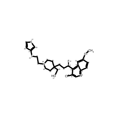 COc1ccc2ncc(Cl)c([C@H](F)CCC3(CO)CCN(CCSc4ccsc4)CC3)c2c1